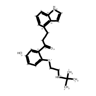 CC(C)(C)NCCOc1ccccc1C(=O)CCc1cccc2[nH]ccc12.Cl